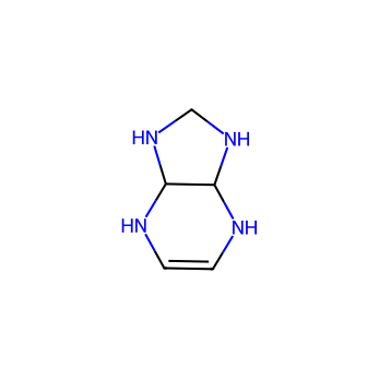 C1=CNC2NCNC2N1